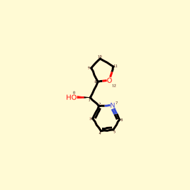 O[C@H](c1ccccn1)C1CCCO1